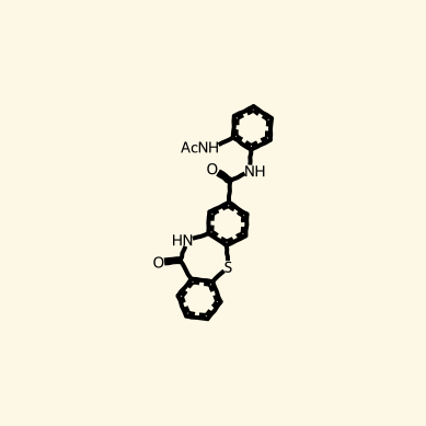 CC(=O)Nc1ccccc1NC(=O)c1ccc2c(c1)NC(=O)c1ccccc1S2